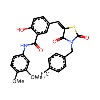 COc1ccc(NC(=O)c2cc(C=C3SC(=O)N(Cc4ccc(C(F)(F)F)cc4)C3=O)ccc2O)cc1OC